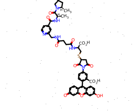 C[C@@H]1CC(F)(F)CN1C(=O)[C@@H](C)NC(=O)c1ccnc(CNC(=O)CCC(=O)NC(CSC2CC(=O)N(c3ccc(-c4c5ccc(=O)cc-5oc5cc(O)ccc45)c(C(=O)O)c3)C2=O)C(=O)O)c1